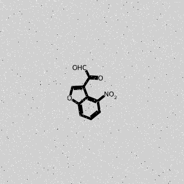 O=CC(=O)c1coc2cccc([N+](=O)[O-])c12